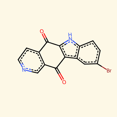 O=C1c2ccncc2C(=O)c2c1[nH]c1ccc(Br)cc21